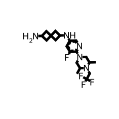 CC1CN(c2ncc(NC3CC4(CC(N)C4)C3)cc2F)CC(C)N1CC(F)(F)F